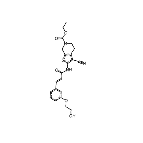 CCOC(=O)N1CCc2c(sc(NC(=O)C=Cc3cccc(OCCO)c3)c2C#N)C1